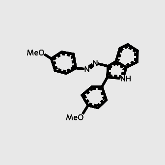 COc1ccc(N=Nc2c(-c3ccc(OC)cc3)[nH]c3ccccc23)cc1